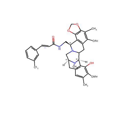 COc1c(C)cc2c(c1O)[C@@H]1C3Cc4c(OC(C)=O)c(C)c5c(c4[C@H](CNC(=O)/C=C/c4cccc(C(F)(F)F)c4)N3C[C@H](C2)N1C)OCO5